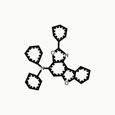 c1ccc(-c2nc3c(o2)c(N(c2ccccc2)c2ccccc2)cc2oc4ccccc4c23)cc1